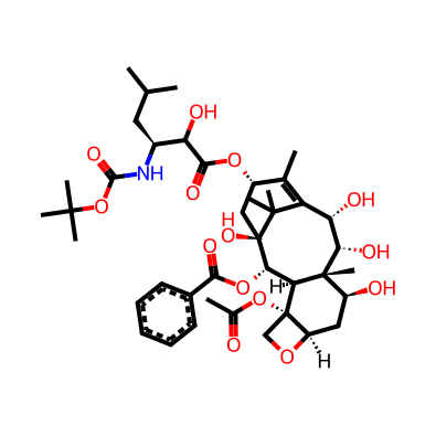 CC(=O)O[C@@]12CO[C@@H]1C[C@H](O)[C@]1(C)[C@@H]2[C@H](OC(=O)c2ccccc2)[C@]2(O)C[C@H](OC(=O)C(O)[C@H](CC(C)C)NC(=O)OC(C)(C)C)C(C)=C([C@H](O)[C@@H]1O)C2(C)C